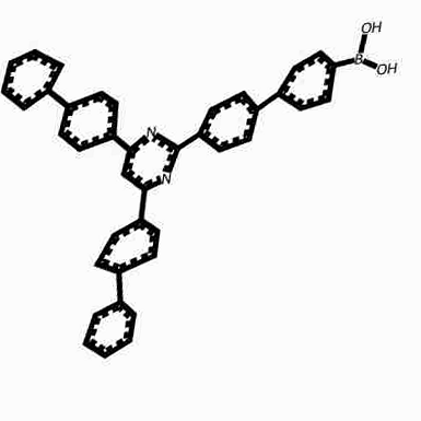 OB(O)c1ccc(-c2ccc(-c3nc(-c4ccc(-c5ccccc5)cc4)cc(-c4ccc(-c5ccccc5)cc4)n3)cc2)cc1